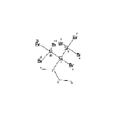 CCC(C)[Si](Br)([Si](Br)(Br)Br)[Si](Br)(Br)Br